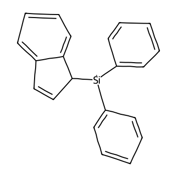 C1=CC([Si](c2ccccc2)c2ccccc2)c2ccccc21